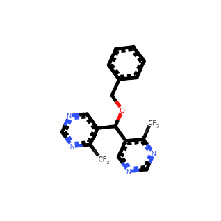 FC(F)(F)c1ncncc1C(OCc1ccccc1)c1cncnc1C(F)(F)F